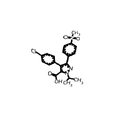 CC(C)n1nc(-c2ccc(S(C)(=O)=O)cc2)c(-c2ccc(Cl)cc2)c1C(=O)O